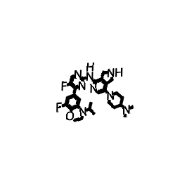 CC(C)N1CCOc2c(F)cc(-c3nc(Nc4ncc(N5CCC(N(C)C)CC5)c5c4CNC5)ncc3F)cc21